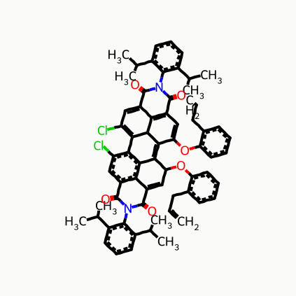 C=CCc1ccccc1OC1=CC2=C3C(=CC(Cl)=C4c5c(Cl)cc6c7c5C(=C1C34)C(Oc1ccccc1CC=C)C=C7C(=O)N(c1c(C(C)C)cccc1C(C)C)C6=O)C(=O)N(c1c(C(C)C)cccc1C(C)C)C2=O